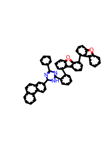 c1ccc(C2=NC(c3ccc4c(ccc5ccccc54)c3)NC(c3ccccc3-c3cccc4oc5c(-c6cccc7oc8ccccc8c67)cccc5c34)=N2)cc1